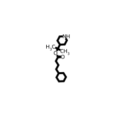 CC(C)(OC(=O)CCCC1CCCCC1)C1CCNCC1